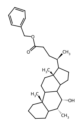 C[C@H](CCC(=O)OCc1ccccc1)C1CCC2C3C(CC[C@@]21C)[C@@]1(C)CCCCC1[C@@H](C)[C@H]3O